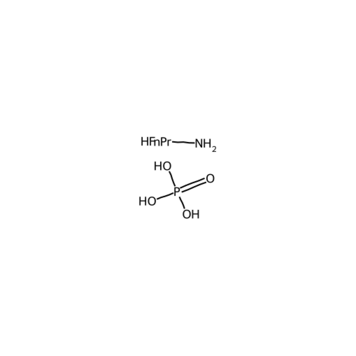 CCCN.F.O=P(O)(O)O